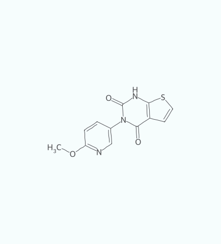 COc1ccc(-n2c(=O)[nH]c3sccc3c2=O)cn1